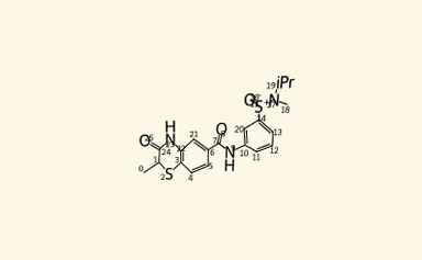 CC1Sc2ccc(C(=O)Nc3cccc([S+]([O-])N(C)C(C)C)c3)cc2NC1=O